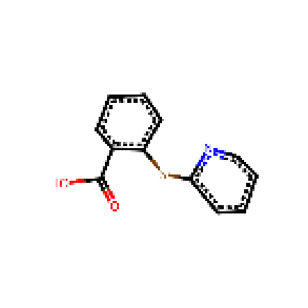 O=C(O)c1ccccc1Sc1ccccn1